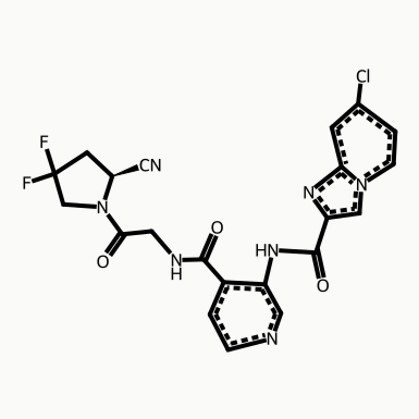 N#C[C@@H]1CC(F)(F)CN1C(=O)CNC(=O)c1ccncc1NC(=O)c1cn2ccc(Cl)cc2n1